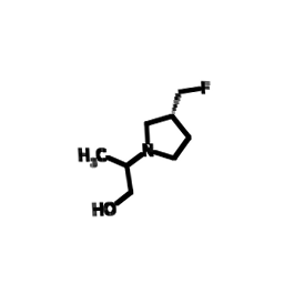 CC(CO)N1CC[C@@H](CF)C1